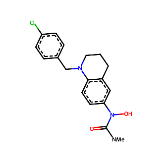 CNC(=O)N(O)c1ccc2c(c1)CCCN2Cc1ccc(Cl)cc1